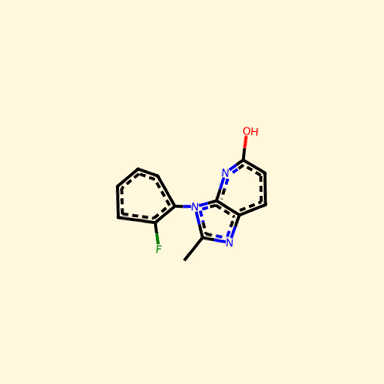 Cc1nc2ccc(O)nc2n1-c1ccccc1F